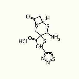 Cl.NC1S[C@@H]2CC(=O)N2CC1(SCc1csnn1)C(=O)O